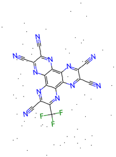 N#Cc1nc2c3nc(C#N)c(C#N)nc3c3nc(C(F)(F)F)c(C#N)nc3c2nc1C#N